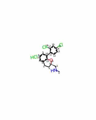 CNC[C@H]1CCc2cccc(-c3ccc(Cl)cc3Cl)c2O1.Cl